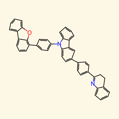 c1ccc2c(c1)CCC(c1ccc(-c3ccc4c(c3)c3ccccc3n4-c3ccc(-c4cccc5c4oc4ccccc45)cc3)cc1)=N2